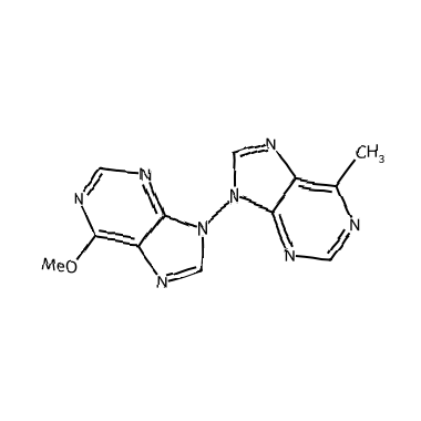 COc1ncnc2c1ncn2-n1cnc2c(C)ncnc21